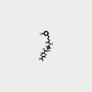 O=C(CCCc1cccc(Cl)c1)NC12CC(NC(=O)c3cnc(C(F)F)cn3)(C1)C2